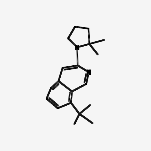 CC(C)(C)c1cccc2cc(N3CCCC3(C)C)ncc12